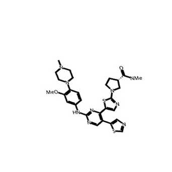 CNC(=O)[C@H]1CCN(c2ncc(-c3nc(Nc4ccc(N5CCN(C)CC5)c(OC)c4)ncc3-c3cncs3)s2)C1